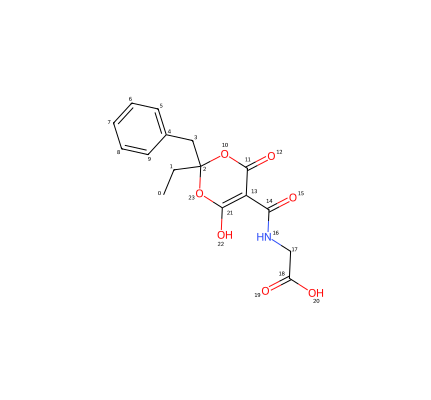 CCC1(Cc2ccccc2)OC(=O)C(C(=O)NCC(=O)O)=C(O)O1